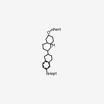 CCCCCCCc1ccc2c(c1)CCC(C1CCC3C[C@H](OCCCCC)CC[C@@H]3C1)C2